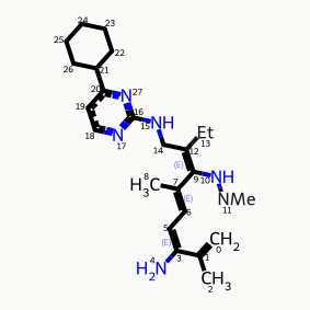 C=C(C)\C(N)=C/C=C(C)/C(NNC)=C(/CC)CNc1nccc(C2CCCCC2)n1